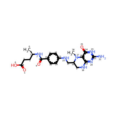 C[C@H](CCC(=O)O)NC(=O)c1ccc(NCC2CNc3nc(N)[nH]c(=O)c3N2C)cc1